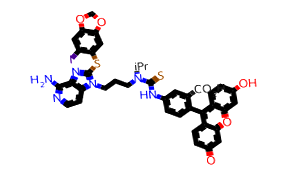 CC(C)N(CCCn1c(Sc2cc3c(cc2I)OCO3)nc2c(N)nccc21)C(=S)Nc1ccc(-c2c3ccc(=O)cc-3oc3cc(O)ccc23)c(C(=O)O)c1